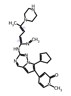 C=N/C(=C\C=C(/C)N1CCNCC1)Nc1ncc2cc(-c3ccn(C)c(=O)c3)c(C3=CCCC3)n2n1